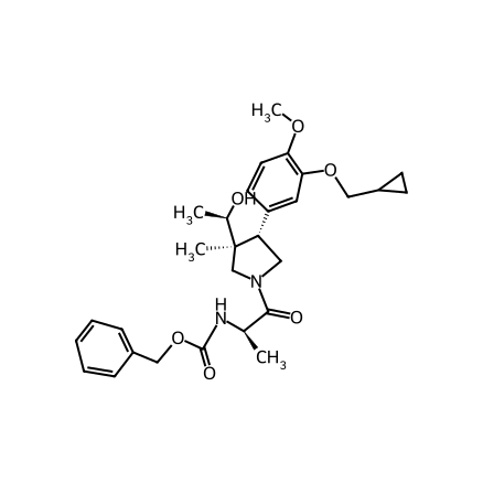 COc1ccc([C@@H]2CN(C(=O)[C@@H](C)NC(=O)OCc3ccccc3)C[C@@]2(C)[C@@H](C)O)cc1OCC1CC1